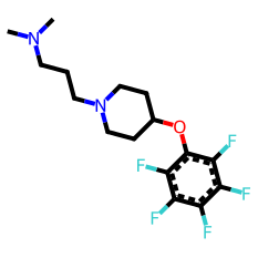 CN(C)CCCN1CCC(Oc2c(F)c(F)c(F)c(F)c2F)CC1